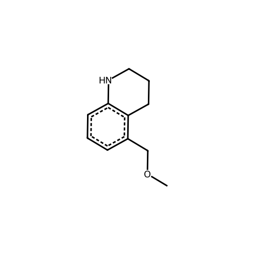 COCc1cccc2c1CCCN2